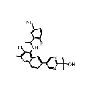 Cc1nc2ccc(-c3cnc(C(C)(C)O)nc3)cc2c(NC(C)c2cc(C#N)ccc2F)c1Cl